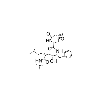 CC(C)CCN(C[C@@H](O)[C@H](Cc1ccccc1)NC(=O)C1CS(=O)(=O)CC(=O)N1)C(=O)NC(C)(C)C